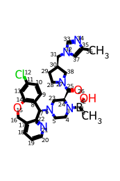 CB(O)N1CCN([C@@H]2c3ccc(Cl)cc3OCc3cccnc32)C[C@H]1C(=O)N1CC[C@@H](Cn2cnc(C)c2)C1